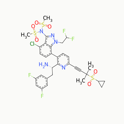 CC(C)(C#Cc1ccc(-c2ccc(Cl)c3c(N(S(C)(=O)=O)S(C)(=O)=O)nn(CC(F)F)c23)c([C@@H](N)Cc2cc(F)cc(F)c2)n1)S(=O)(=O)C1CC1